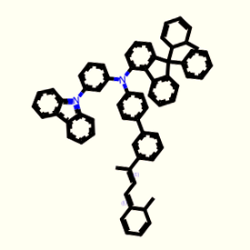 C/C(=C\C=C1\C=CC=CC1C)c1cccc(-c2ccc(N(c3cccc(-n4c5ccccc5c5ccccc54)c3)c3cccc4c3-c3ccccc3C4(c3ccccc3)C3C=CC=CC3C)cc2)c1